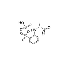 CC(Nc1ccccc1S(=O)(=O)OS(=O)(=O)O)[SH](=O)=O